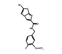 O=C(NCc1ccc(F)c(OC(F)(F)F)c1)c1cn2cc(Br)sc2n1